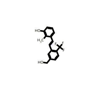 Cc1c(O)cccc1/C=C/c1cc(CO)ccc1C(F)(F)F